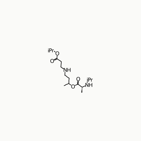 CC(C)N[C@@H](C)C(=O)OC(C)CCNCCC(=O)OC(C)C